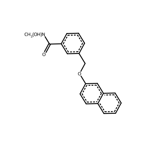 CN(O)C(=O)c1cccc(COc2ccc3ccccc3c2)c1